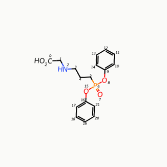 O=C(O)CNCCCP(=O)(Oc1ccccc1)Oc1ccccc1